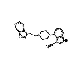 N#Cc1c[nH]c2cccc(N3CCN(CCc4coc5ccccc45)CC3)c12